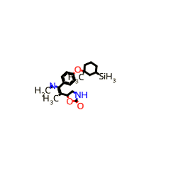 C=N/C(=C(\C)C1CNC(=O)O1)c1ccc(O[C@]2(C)CCCC([SiH3])C2)cc1